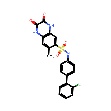 Cc1cc2[nH]c(=O)c(=O)[nH]c2cc1S(=O)(=O)Nc1ccc(-c2ccccc2Cl)cc1